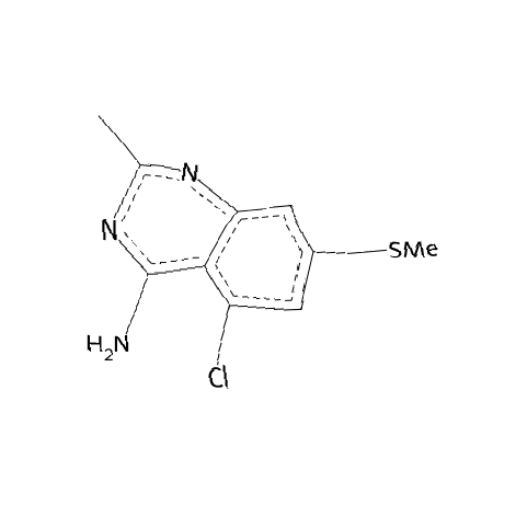 CSc1cc(Cl)c2c(N)nc(C)nc2c1